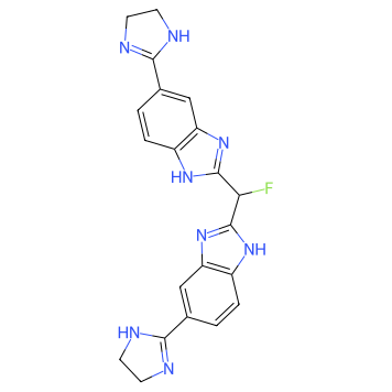 FC(c1nc2cc(C3=NCCN3)ccc2[nH]1)c1nc2cc(C3=NCCN3)ccc2[nH]1